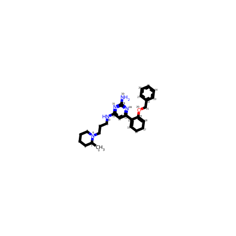 CC1CCCCN1CCCNc1cc(C2=C[CH]CC=C2OCc2ccccc2)nc(N)n1